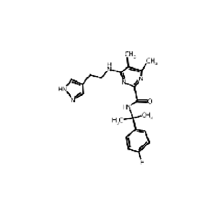 Cc1nc(C(=O)NC(C)(C)c2ccc(F)cc2)nc(NCCc2cn[nH]c2)c1C